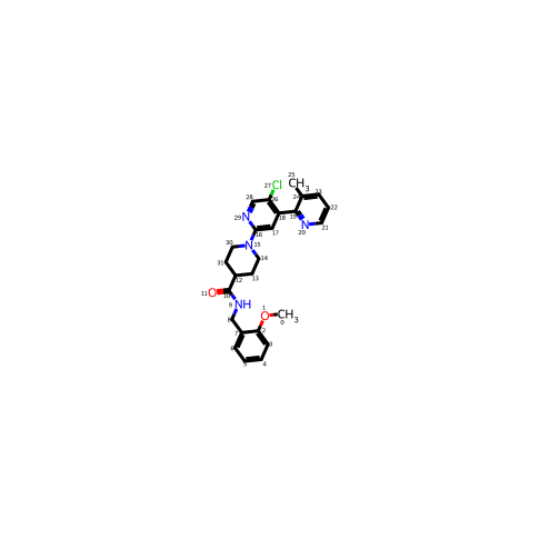 COc1ccccc1CNC(=O)C1CCN(c2cc(-c3ncccc3C)c(Cl)cn2)CC1